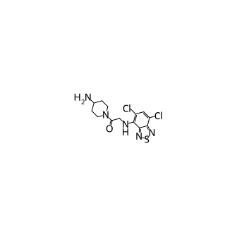 NC1CCN(C(=O)CNc2c(Cl)cc(Cl)c3nsnc23)CC1